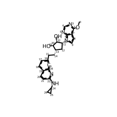 COc1ncnc2c1ccn2[C@@H]1C[C@H](CCc2ccc3ccc(NC4CC4)nc3c2)[C@@H](O)[C@H]1O